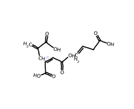 C=C(C)C(=O)O.C=CCC(=O)O.O=C(O)/C=C\C(=O)O